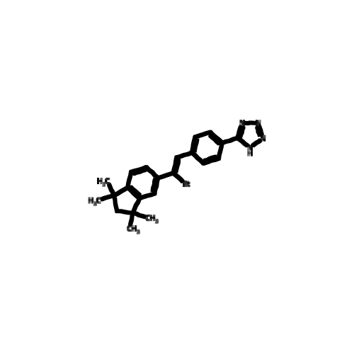 CCC(=Cc1ccc(-c2nnn[nH]2)cc1)c1ccc2c(c1)C(C)(C)CC2(C)C